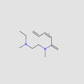 C=C/C=C\C(=C)N(C)CCN(C)CC